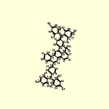 Cc1cc(C)c(B(c2ccc(-c3cc4c5cccc6c5c(cc4c4ccccc34)-c3ccc(B(c4c(C)cc(C)cc4C)c4c(C)cc(C)cc4C)cc3C6(C)C)cc2)c2c(C)cc(C)cc2C)c(C)c1